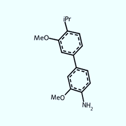 COc1cc(-c2ccc(C(C)C)c(OC)c2)ccc1N